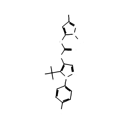 Cc1cc(NC(=O)Oc2cnn(-c3ccc(Cl)cc3)c2C(F)(F)F)n(C)n1